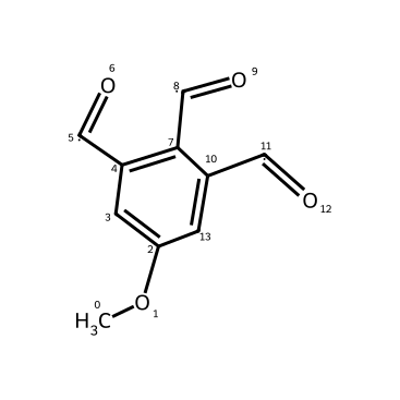 COc1cc([C]=O)c([C]=O)c([C]=O)c1